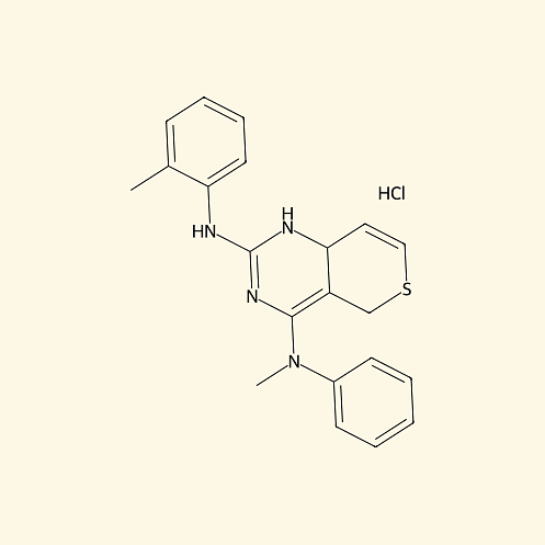 Cc1ccccc1NC1=NC(N(C)c2ccccc2)=C2CSC=CC2N1.Cl